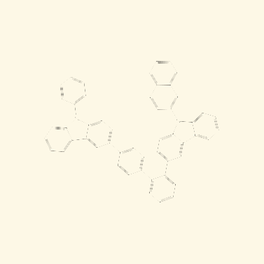 c1ccc(-n2c3ccccc3c3cc(-c4ccc(-c5ccccc5-c5ccc6c(c5)c5ccccc5n6-c5ccc6ccccc6c5)cc4)ccc32)cc1